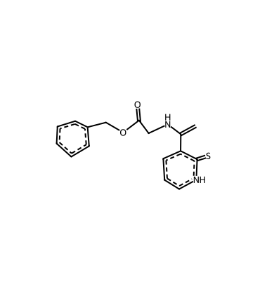 C=C(NCC(=O)OCc1ccccc1)c1ccc[nH]c1=S